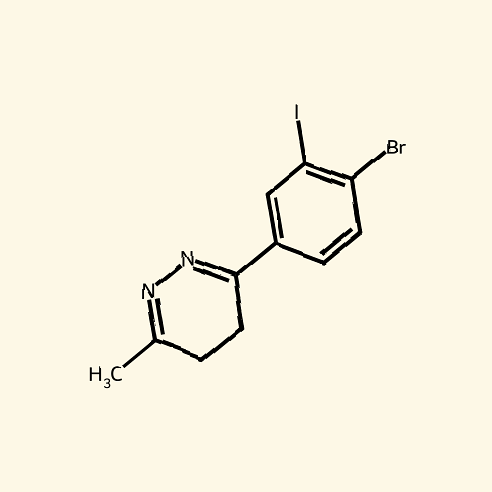 CC1=NN=C(c2ccc(Br)c(I)c2)CC1